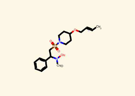 C/C=C/COC1CCN(S(=O)(=O)CC(c2ccccc2)N(O)C=O)CC1